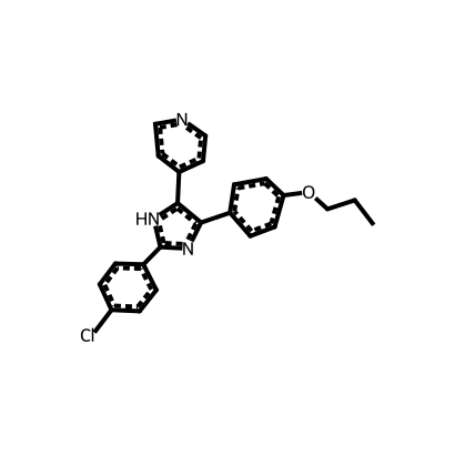 CCCOc1ccc(-c2nc(-c3ccc(Cl)cc3)[nH]c2-c2ccncc2)cc1